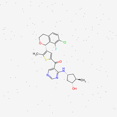 Cc1sc(C(=O)c2cncnc2N[C@@H]2C[C@@H](C)[C@H](O)C2)cc1[C@@H]1OCCc2ccc(Cl)c(F)c21